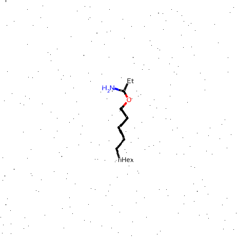 CCCCCCCCCCCOC(N)CC